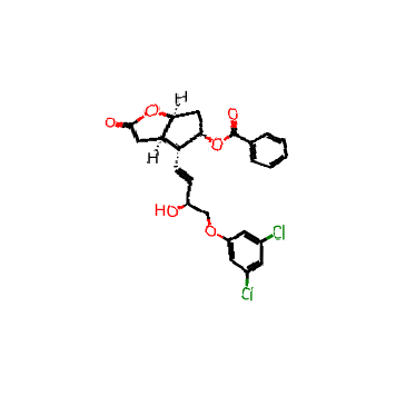 O=C1C[C@@H]2[C@@H](/C=C/[C@H](O)COc3cc(Cl)cc(Cl)c3)[C@H](OC(=O)c3ccccc3)C[C@@H]2O1